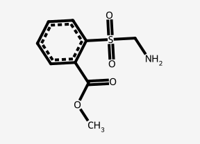 COC(=O)c1ccccc1S(=O)(=O)CN